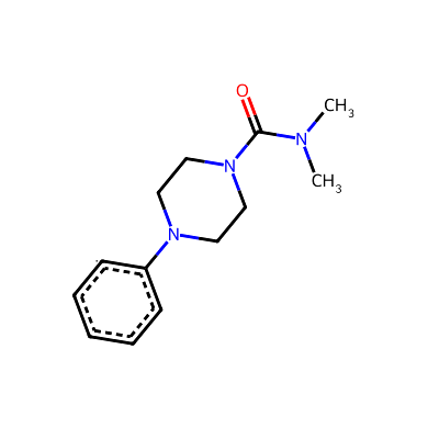 CN(C)C(=O)N1CCN(c2[c]cccc2)CC1